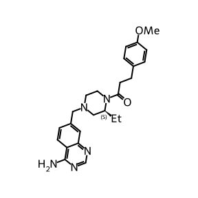 CC[C@H]1CN(Cc2ccc3c(N)ncnc3c2)CCN1C(=O)CCc1ccc(OC)cc1